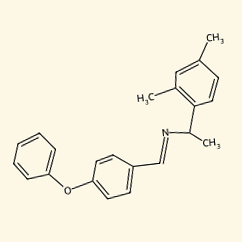 Cc1ccc(C(C)/N=C/c2ccc(Oc3ccccc3)cc2)c(C)c1